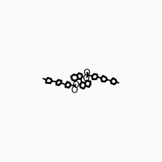 Cc1ccc(-c2ccc(-c3ccc(C(=O)Oc4ccc5ccccc5c4-c4c(OC(=O)c5ccc(-c6ccc(-c7ccc(C)cc7)cc6)cc5)ccc5ccccc45)cc3)cc2)cc1